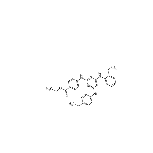 CCOC(=O)c1ccc(Nc2nc(Nc3ccc(CC)cc3)nc(Nc3ccccc3CC)n2)cc1